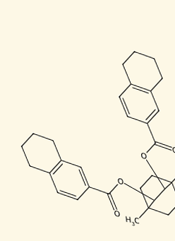 CC(C)C12CCC(C)(CC1)C(OC(=O)c1ccc3c(c1)CCCC3)C2OC(=O)c1ccc2c(c1)CCCC2